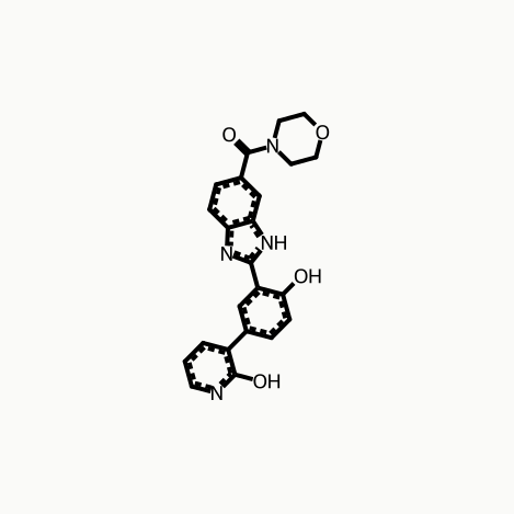 O=C(c1ccc2nc(-c3cc(-c4cccnc4O)ccc3O)[nH]c2c1)N1CCOCC1